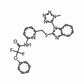 Cn1nnnc1-n1c(SCc2cccc(NC(=O)C(F)(F)Oc3ccccc3)n2)nc2ccccc21